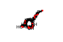 CCCCCOc1ccc(-c2ccc(-c3ccc(C(=O)N[C@H]4CCCNC(=O)[C@@H]5C[C@@H](C)CN5C(=O)C([C@@H](C)O)NC(=O)[C@H](CCc5ccc(O)cc5)NC(=O)[C@@H]5CCCN5C(=O)[C@H](CC)NC4=O)cc3)cc2)cc1